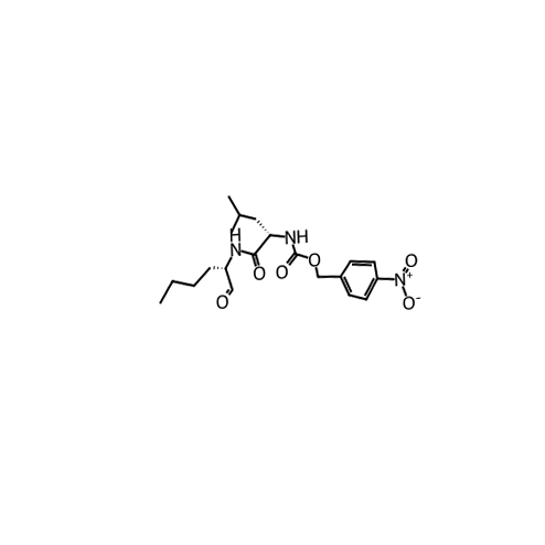 CCCC[C@@H](C=O)NC(=O)[C@H](CC(C)C)NC(=O)OCc1ccc([N+](=O)[O-])cc1